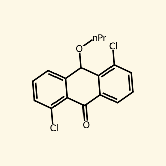 CCCOC1c2cccc(Cl)c2C(=O)c2cccc(Cl)c21